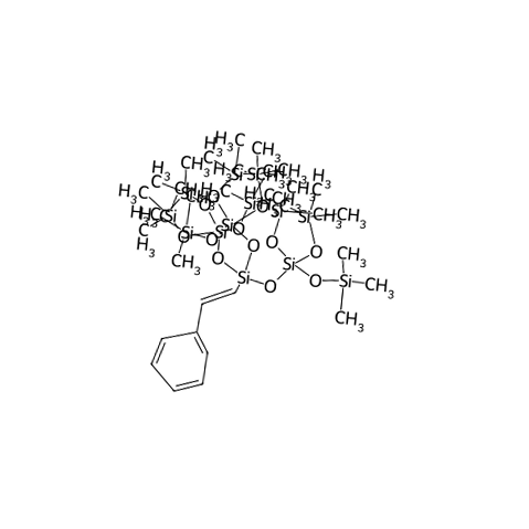 C[Si](C)(C)O[Si](O[Si](C)(C)C)(O[Si](C)(C)C)O[Si](C=Cc1ccccc1)(O[Si](O[Si](C)(C)C)(O[Si](C)(C)C)O[Si](C)(C)C)O[Si](O[Si](C)(C)C)(O[Si](C)(C)C)O[Si](C)(C)C